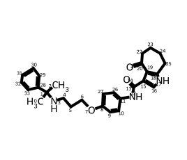 CC(C)(NCCCOc1ccc(NC(=O)c2c[nH]c3c2C(=O)CCCC3)cc1)c1ccccc1